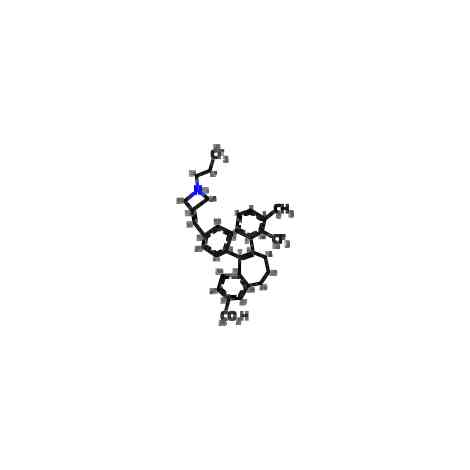 Cc1cccc(C2=C(c3ccc(C=C4CN(CCC(F)(F)F)C4)cc3)c3ccc(C(=O)O)cc3CCC2)c1C(F)(F)F